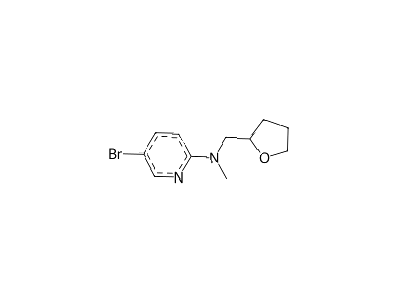 CN(CC1CCCO1)c1ccc(Br)cn1